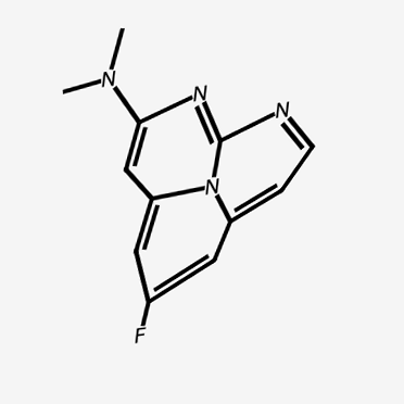 CN(C)C1=CC2=CC(F)=CC3=CC=NC(=N1)N32